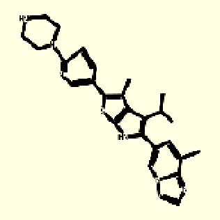 Cc1c(-c2ccc(N3CCNCC3)nc2)sc2[nH]c(-c3cc(C)c4ncnn4c3)c(C(C)C)c12